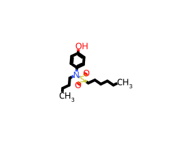 CCCCCCS(=O)(=O)N(CCCC)c1ccc(O)cc1